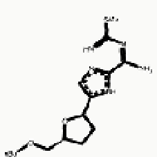 CCCCOC[C@@H]1CCC(c2cnc(/C(N)=N\C(=N)SC)[nH]2)O1